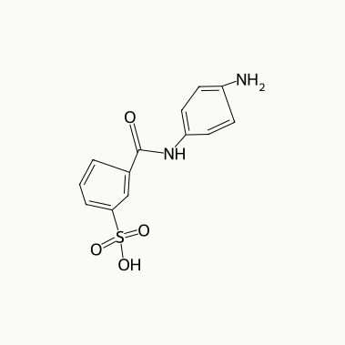 Nc1ccc(NC(=O)c2cccc(S(=O)(=O)O)c2)cc1